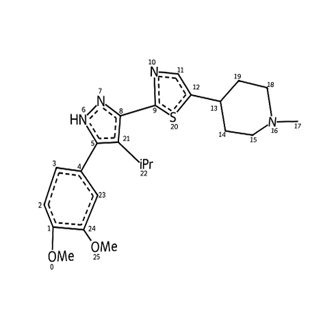 COc1ccc(-c2[nH]nc(-c3ncc(C4CCN(C)CC4)s3)c2C(C)C)cc1OC